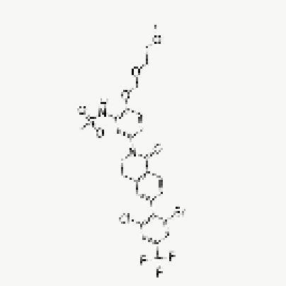 COCCOCOc1ccc(N2CCc3cc(-c4c(Cl)cc(C(F)(F)F)cc4Br)ccc3C2=O)cc1NS(C)(=O)=O